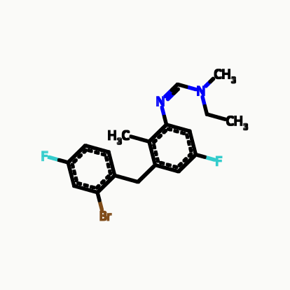 CCN(C)/C=N\c1cc(F)cc(Cc2ccc(F)cc2Br)c1C